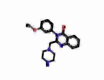 CC(C)Oc1cccc(-n2c(CN3CCNCC3)nc3ccccc3c2=O)c1